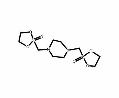 O=P1(CN2CCN(CP3(=O)OCCO3)CC2)OCCO1